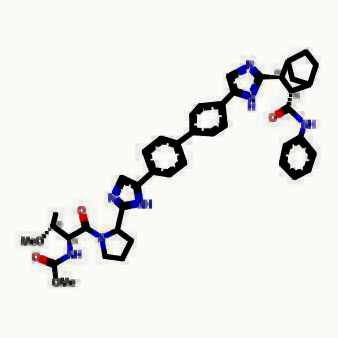 COC(=O)N[C@H](C(=O)N1CCCC1c1ncc(-c2ccc(-c3ccc(-c4cnc([C@H]5C6CCC(C6)[C@@H]5C(=O)Nc5ccccc5)[nH]4)cc3)cc2)[nH]1)[C@@H](C)OC